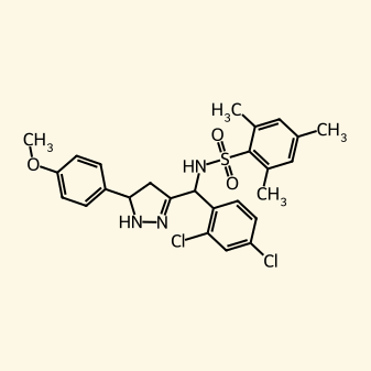 COc1ccc(C2CC(C(NS(=O)(=O)c3c(C)cc(C)cc3C)c3ccc(Cl)cc3Cl)=NN2)cc1